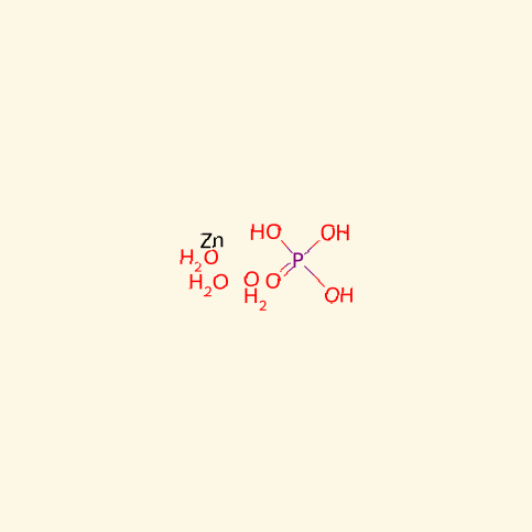 O.O.O.O=P(O)(O)O.[Zn]